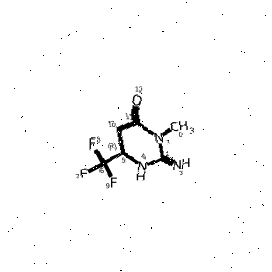 CN1C(=N)N[C@@H](C(F)(F)F)CC1=O